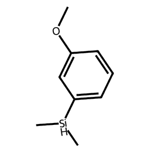 COc1cccc([SiH](C)C)c1